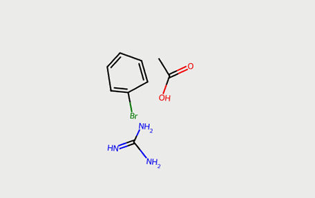 Brc1ccccc1.CC(=O)O.N=C(N)N